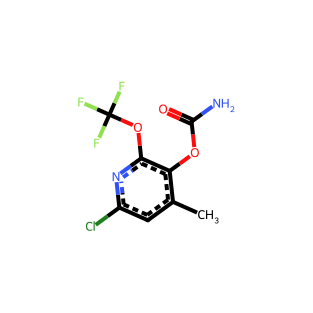 Cc1cc(Cl)nc(OC(F)(F)F)c1OC(N)=O